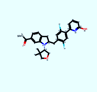 COC(=O)c1ccc2c(c1)N([C@@H]1COCC1(C)C)C(Cc1cc(F)c(-c3cccc(O)n3)cc1F)C2